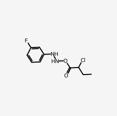 CCC(Cl)C(=O)ONNc1cccc(F)c1